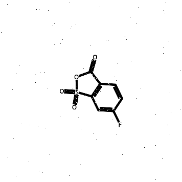 O=C1OS(=O)(=O)c2cc(F)ccc21